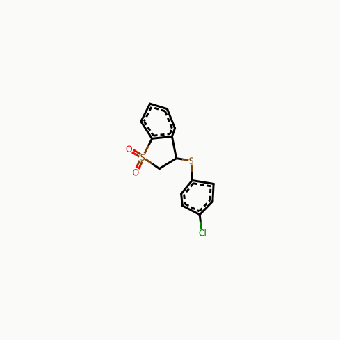 O=S1(=O)CC(Sc2ccc(Cl)cc2)c2ccccc21